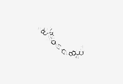 C=CCn1c(=O)c2cnc(Nc3ccc(N4CCN(C5CCN(C[C@@H]6Cc7ccc8c(C9CCC(=O)NC9=O)noc8c7C6)CC5)CC4)cc3)nc2n1-c1ccc2c(n1)[C@@](O)(CC)CC2